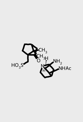 CC(=O)NC1C2CCN(CC2)[C@H]1N.CC1(C)C2CCC1(CS(=O)(=O)O)C(=O)C2